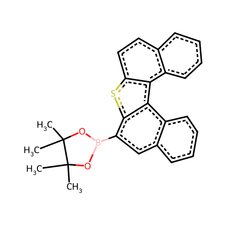 CC1(C)OB(c2cc3ccccc3c3c2sc2ccc4ccccc4c23)OC1(C)C